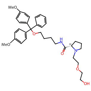 COc1ccc(C(OCCCCNC(=O)[C@@H]2CCCN2CCOCCO)(c2ccccc2)c2ccc(OC)cc2)cc1